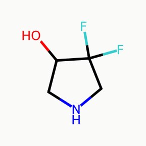 OC1CNCC1(F)F